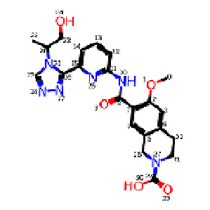 COc1cc2c(cc1C(=O)Nc1cccc(-c3nncn3C(C)CO)n1)CN(C(=O)O)CC2